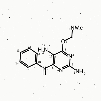 CNCOc1nc(N)nc(Nc2ccccc2)c1N